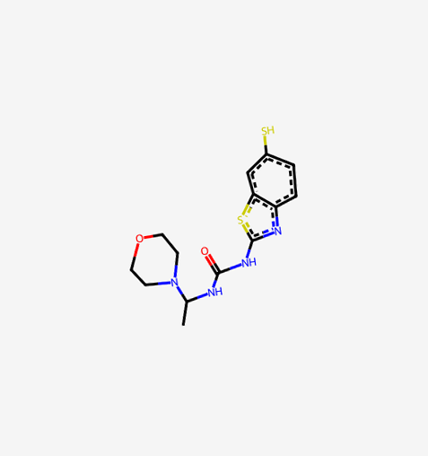 CC(NC(=O)Nc1nc2ccc(S)cc2s1)N1CCOCC1